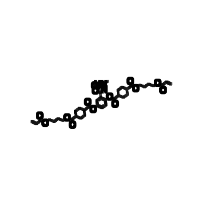 C=CC(=O)OCCCCOC(=O)C1CCC(C(=O)Oc2ccc(OC(=O)C3CCC(C(=O)OCCCCOC(=O)C=C)CC3)c(/C(=N/NC)OO)c2)CC1